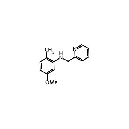 COc1ccc(C)c(NCc2ccccn2)c1